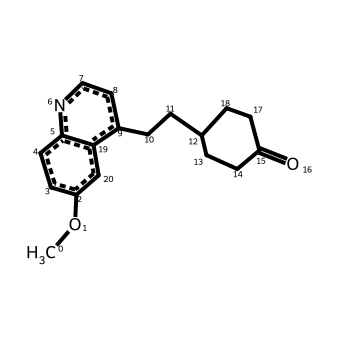 COc1ccc2nccc(CCC3CCC(=O)CC3)c2c1